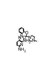 CN1CCN(C(=O)Oc2ccccc2/N=N/c2ccc(N)nc2N)CC1